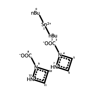 CCC[CH2][Sn+2][CH2]CCC.O=C([O-])n1cc[nH]1.O=C([O-])n1cc[nH]1